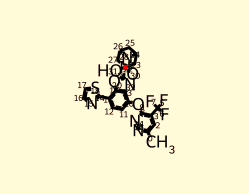 Cc1cc(C(F)(F)F)c(Oc2ccc(-c3nccs3)c3oc(N4CC5CC(C4)N5C(=O)O)nc23)nn1